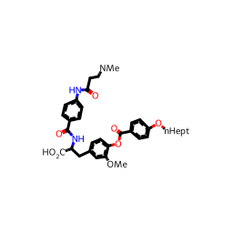 CCCCCCCOc1ccc(C(=O)Oc2ccc(CC(NC(=O)c3ccc(NC(=O)CCNC)cc3)C(=O)O)cc2OC)cc1